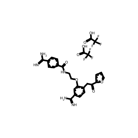 N=C(N)c1ccc(C(=O)NCCOc2cc(C(=N)N)ccc2CC(=O)c2ccco2)cc1.O=C(O)C(F)(F)F.O=C(O)C(F)(F)F